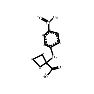 O=C(O)C1(Oc2ccc([N+](=O)[O-])cc2)CCC1